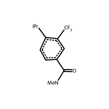 CNC(=O)c1ccc(C(C)C)c(C(F)(F)F)c1